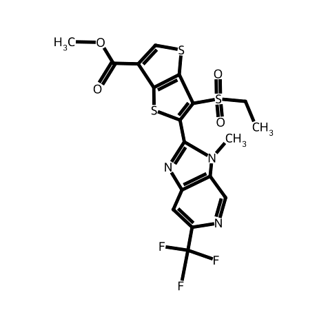 CCS(=O)(=O)c1c(-c2nc3cc(C(F)(F)F)ncc3n2C)sc2c(C(=O)OC)csc12